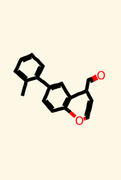 Cc1ccccc1-c1ccc2c(c1)C(C=O)C=CO2